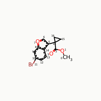 COC(=O)C1(c2coc3cc(Br)ccc23)CC1